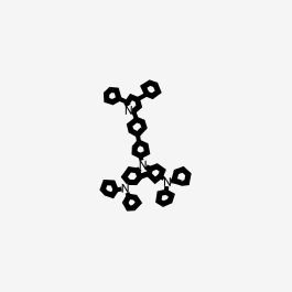 c1ccc(-c2cc(-c3ccccc3)nc(-c3ccc(-c4ccc(-n5c6ccc(N(c7ccccc7)c7ccccc7)cc6c6cc(N(c7ccccc7)c7ccccc7)ccc65)cc4)cc3)c2)cc1